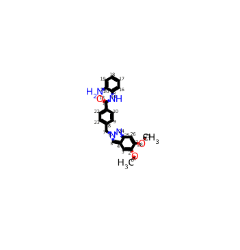 COc1cc2cn(Cc3ccc(C(=O)Nc4ccccc4N)cc3)nc2cc1OC